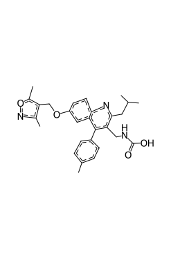 Cc1ccc(-c2c(CNC(=O)O)c(CC(C)C)nc3ccc(OCc4c(C)noc4C)cc23)cc1